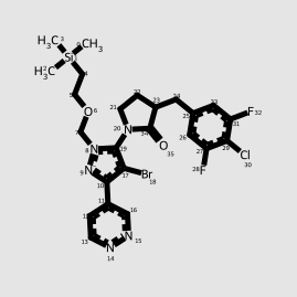 C[Si](C)(C)CCOCn1nc(-c2ccnnc2)c(Br)c1N1CCC(Cc2cc(F)c(Cl)c(F)c2)C1=O